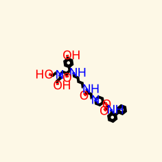 O=C(CCN1CCC(OC(=O)Nc2ccccc2-c2ccccc2)CC1)NCCCCCNC(C(=O)CN(CCO)CCO)c1ccc(O)cc1